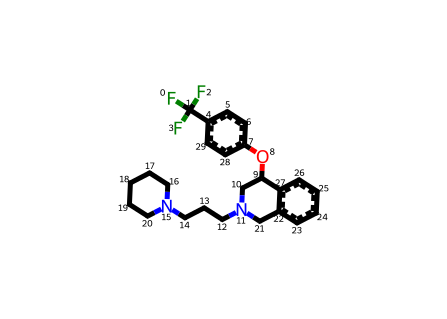 FC(F)(F)c1ccc(OC2CN(CCCN3CCCCC3)Cc3ccccc32)cc1